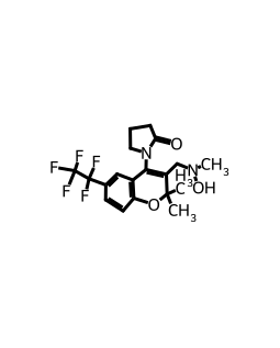 CN(O)CC1=C(N2CCCC2=O)c2cc(C(F)(F)C(F)(F)F)ccc2OC1(C)C